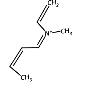 C=C/[N+](C)=C\C=C/C